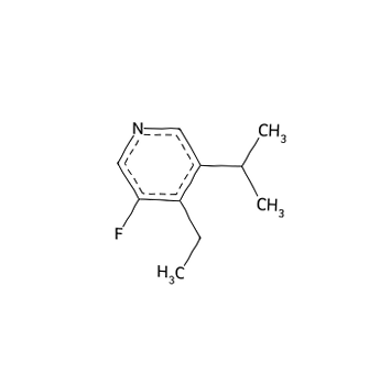 CCc1c(F)cncc1C(C)C